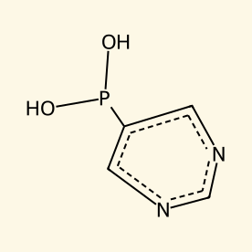 OP(O)c1cncnc1